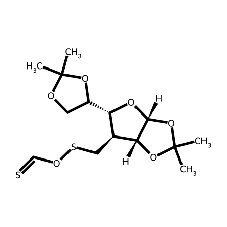 CC1(C)OCC([C@@H]2O[C@@H]3OC(C)(C)O[C@@H]3[C@H]2CSOC=S)O1